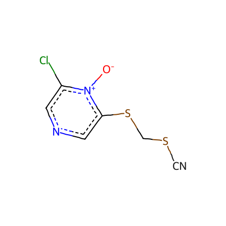 N#CSCSc1cncc(Cl)[n+]1[O-]